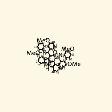 COc1cncc(C(Nc2ccccc2OC)C(C(=O)C(c2c[nH]c3ccccc23)C(Nc2ccccc2OC)c2cncc(OC)c2)c2c[nH]c3ccccc23)c1